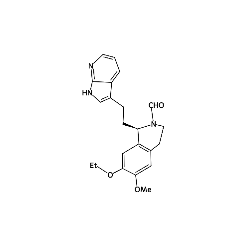 CCOc1cc2c(cc1OC)CCN(C=O)[C@@H]2CCc1c[nH]c2ncccc12